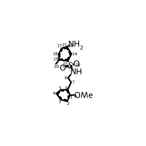 COc1ccccc1CCNS(=O)(=O)c1cc(N)ccc1C